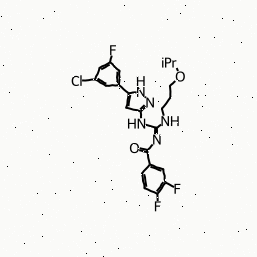 CC(C)OCCCN/C(=N/C(=O)c1ccc(F)c(F)c1)Nc1cc(-c2cc(F)cc(Cl)c2)[nH]n1